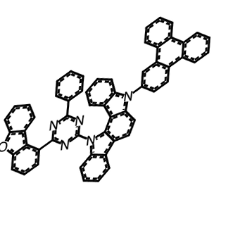 c1ccc(-c2nc(-c3cccc4oc5ccccc5c34)nc(-n3c4ccccc4c4ccc5c(c6ccccc6n5-c5ccc6c7ccccc7c7ccccc7c6c5)c43)n2)cc1